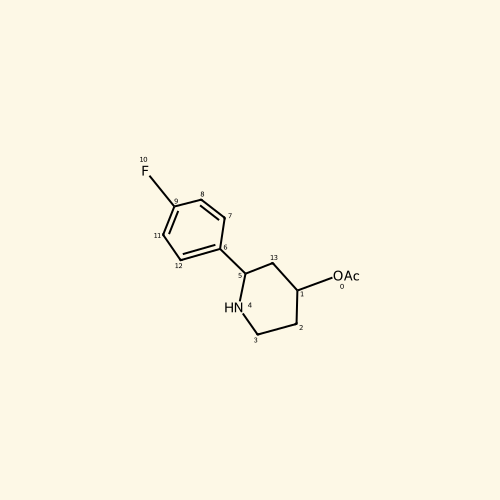 CC(=O)OC1CCNC(c2ccc(F)cc2)C1